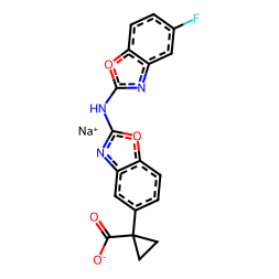 O=C([O-])C1(c2ccc3oc(Nc4nc5cc(F)ccc5o4)nc3c2)CC1.[Na+]